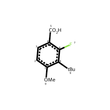 COc1ccc(C(=O)O)c(F)c1C(C)(C)C